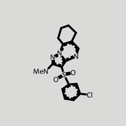 CNc1nn2c3c(cnc2c1S(=O)(=O)c1cccc(Cl)c1)CCCC3